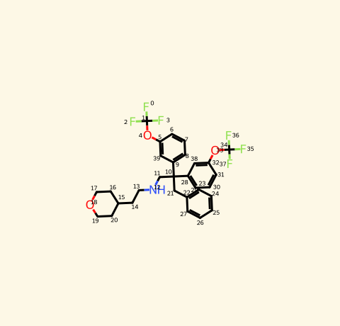 FC(F)(F)Oc1cccc(C(CNCCC2CCOCC2)(Cc2ccccc2)c2cccc(OC(F)(F)F)c2)c1